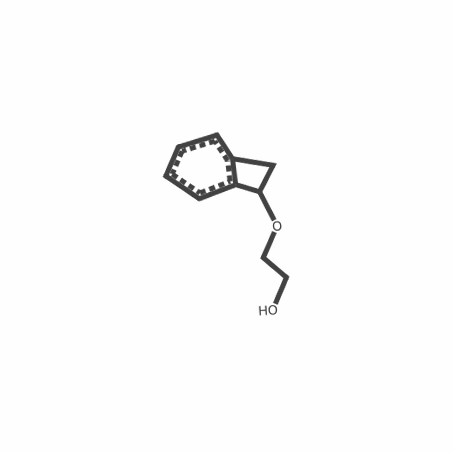 OCCOC1Cc2ccccc21